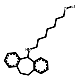 CCOCCCCCCCNC1c2ccccc2CCc2ccccc21